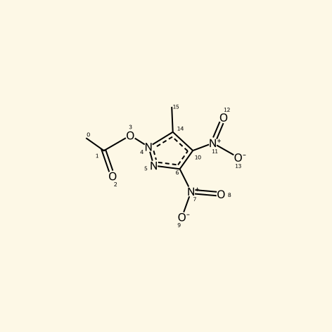 CC(=O)On1nc([N+](=O)[O-])c([N+](=O)[O-])c1C